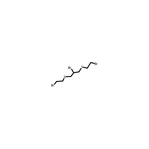 BrCCSCC(Br)CSCCBr